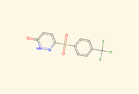 O=c1ccc(S(=O)(=O)c2ccc(C(F)(F)F)cc2)n[nH]1